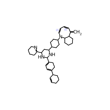 C=C1/C=C\C=C/N(C2CCC(C3CC(C4=NCCCC4)NC(C4=CC=C(C5C=CCCC5)CC4)N3)CC2)C2CCCCC12